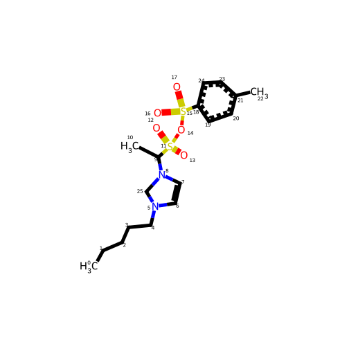 CCCCCN1C=CN(C(C)S(=O)(=O)OS(=O)(=O)c2ccc(C)cc2)C1